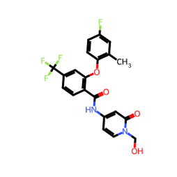 Cc1cc(F)ccc1Oc1cc(C(F)(F)F)ccc1C(=O)Nc1ccn(CO)c(=O)c1